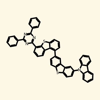 c1ccc(-c2nc(-c3ccccc3)nc(-c3cccc4c3sc3cccc(-c5ccc6sc7ccc(-n8c9ccccc9c9ccccc98)cc7c6c5)c34)n2)cc1